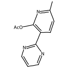 CC(=O)Oc1nc(C)ccc1-c1ncccn1